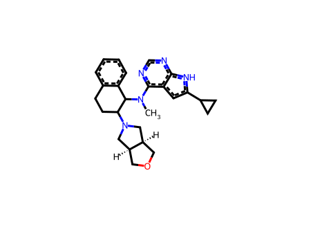 CN(c1ncnc2[nH]c(C3CC3)cc12)C1c2ccccc2CCC1N1C[C@H]2COC[C@H]2C1